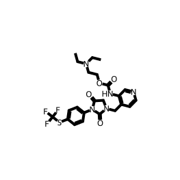 CCN(CC)CCOC(=O)Nc1cnccc1CN1CC(=O)N(c2ccc(SC(F)(F)F)cc2)C1=O